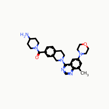 Cc1cc(N2CCOCC2)cc2c(N3CCc4ccc(C(=O)N5CCC(N)CC5)cc4C3)ncnc12